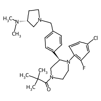 CN(C)[C@@H]1CCN(Cc2ccc([C@@H]3CN(C(=O)C(C)(C)C)CCN3c3ccc(Cl)cc3F)cc2)C1